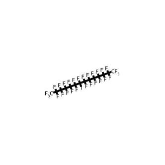 FC(F)(F)C(F)(F)C(F)(F)C(F)(F)C(F)(F)C(F)(F)C(F)(F)C(F)(I)C(F)(F)C(F)(F)C(F)(F)C(F)(F)C(F)(F)C(F)(F)F